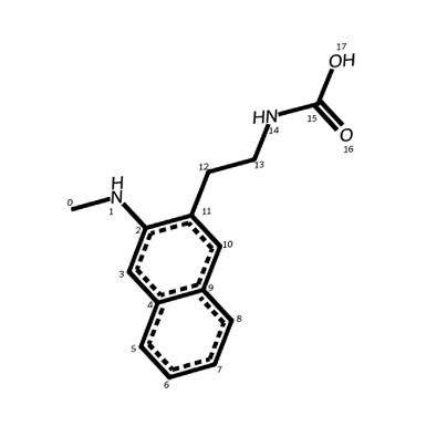 CNc1cc2ccccc2cc1CCNC(=O)O